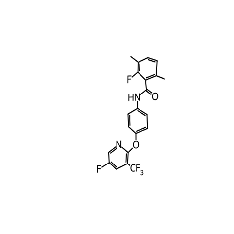 Cc1ccc(C)c(C(=O)Nc2ccc(Oc3ncc(F)cc3C(F)(F)F)cc2)c1F